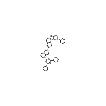 c1ccc(-c2ccc3oc4ccc5cc(-c6ccc7c(-c8nc(-c9ccccc9)nc(-c9ccccc9)n8)cccc7c6)ccc5c4c3c2)cc1